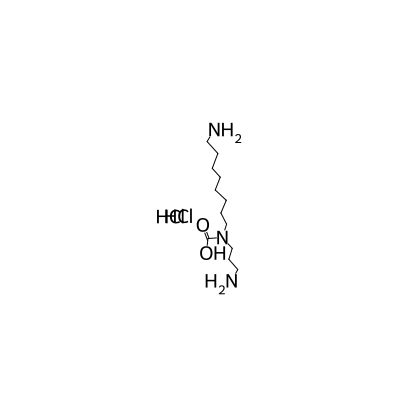 Cl.Cl.NCCCCCCCCN(CCCN)C(=O)O